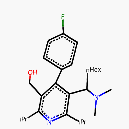 CCCCCCC(c1c(C(C)C)nc(C(C)C)c(CO)c1-c1ccc(F)cc1)N(C)C